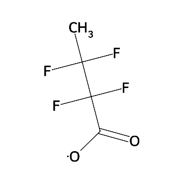 CC(F)(F)C(F)(F)C([O])=O